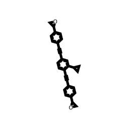 C(#Cc1ccc(C#Cc2ccc(C3CO3)cc2)c(C2CC2)c1)c1ccc(C2CO2)cc1